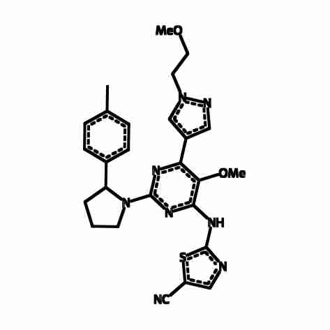 COCCn1cc(-c2nc(N3CCCC3c3ccc(C)cc3)nc(Nc3ncc(C#N)s3)c2OC)cn1